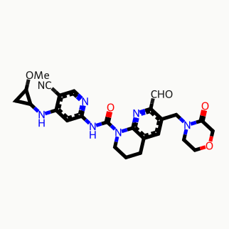 COC1CC1Nc1cc(NC(=O)N2CCCc3cc(CN4CCOCC4=O)c(C=O)nc32)ncc1C#N